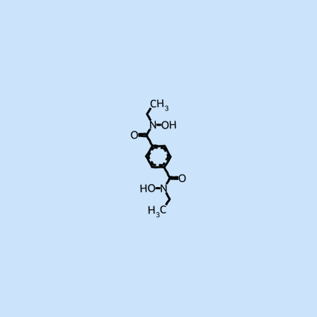 CCN(O)C(=O)c1ccc(C(=O)N(O)CC)cc1